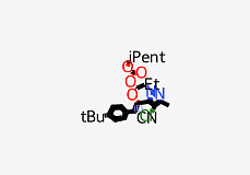 CCCC(C)OC(=O)OC(C)O/C(=C(/C#N)c1ccc(C(C)(C)C)cc1)c1c(Cl)c(C)nn1CC